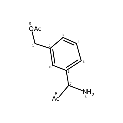 CC(=O)OCc1cccc(C(N)C(C)=O)c1